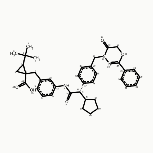 CC(C)(C)C1CC1(Cc1cccc(NC(=O)[C@H](c2ccc(CN3N=C(c4ccccc4)OCC3=O)cc2)C2CCCC2)c1)C(=O)O